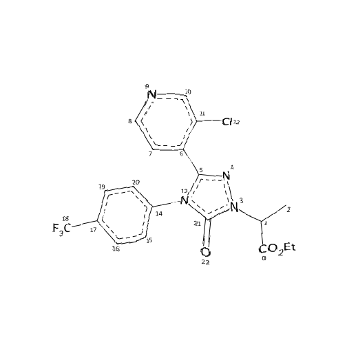 CCOC(=O)C(C)n1nc(-c2ccncc2Cl)n(-c2ccc(C(F)(F)F)cc2)c1=O